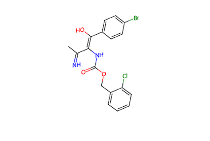 CC(=N)/C(NC(=O)OCc1ccccc1Cl)=C(\O)c1ccc(Br)cc1